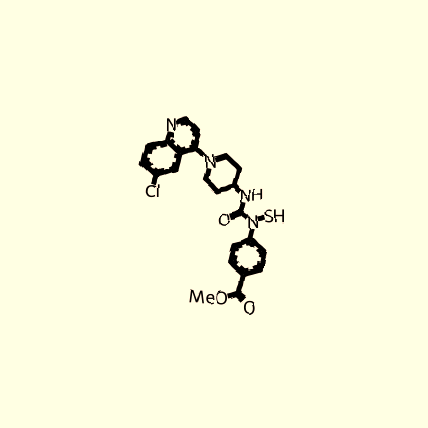 COC(=O)c1ccc(N(S)C(=O)NC2CCN(c3ccnc4ccc(Cl)cc34)CC2)cc1